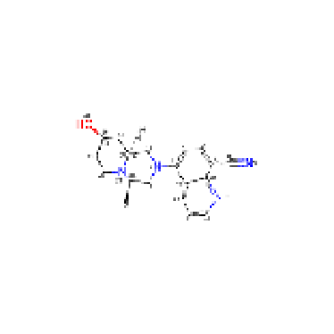 C[C@@H]1CN(c2ccc(C#N)c3ncccc23)C[C@@H]2C[C@H](O)CCN21